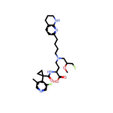 COC(CF)CN(CCCCc1ccc2c(n1)NCCC2)CCC(NC(=O)C1(c2c(C)cncc2F)CC1)C(=O)O